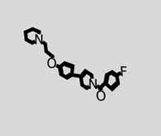 O=C(c1ccc(F)cc1)N1CC=C(c2ccc(OCCCN3CCCCC3)cc2)CC1